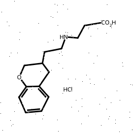 Cl.O=C(O)CCNCCC1COc2ccccc2C1